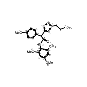 CCCCCCCCCCCCn1nnc(C(C(=O)Nc2c(OC)cc(OC)cc2OC)c2ccc(OC)cc2)n1